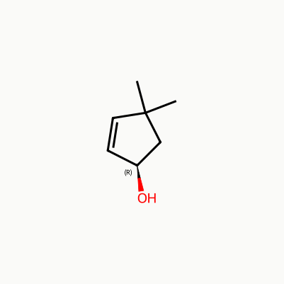 CC1(C)C=C[C@H](O)C1